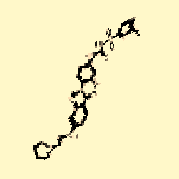 O=C(Nc1ccc(-n2cnc3cc(NCCN4CCCC4)ccc3c2=O)c(Cl)c1)NS(=O)(=O)c1ccc(Cl)s1